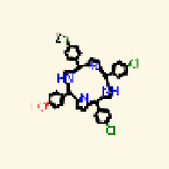 Oc1ccc(-c2c3nc(c(-c4ccc(Cl)cc4)c4ccc([nH]4)c(-c4ccc(Cl)cc4)c4nc(c(-c5ccc(Cl)cc5)c5ccc2[nH]5)C=C4)C=C3)cc1.[Zn]